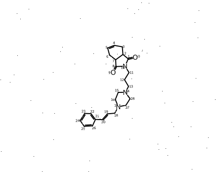 O=C1C2CC=CCC2C(=O)N1CCCN1CCN(C/C=C/c2ccccc2)CC1